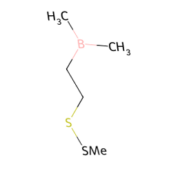 CSSCCB(C)C